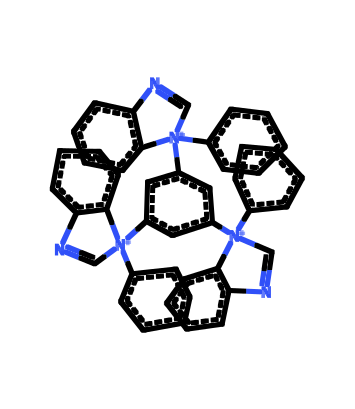 C1=Nc2ccccc2[N+]1(c1ccccc1)c1cc([N+]2(c3ccccc3)C=Nc3ccccc32)cc([N+]2(c3ccccc3)C=Nc3ccccc32)c1